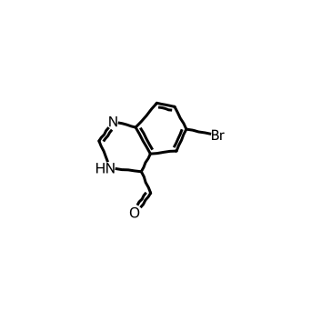 O=CC1NC=Nc2ccc(Br)cc21